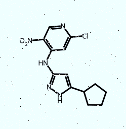 O=[N+]([O-])c1cnc(Cl)cc1Nc1cc(C2CCCC2)[nH]n1